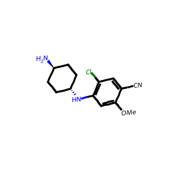 COc1cc(N[C@H]2CC[C@H](N)CC2)c(Cl)cc1C#N